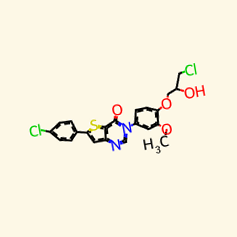 COc1cc(-n2cnc3cc(-c4ccc(Cl)cc4)sc3c2=O)ccc1OCC(O)CCl